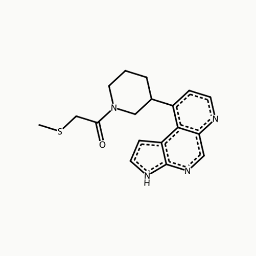 CSCC(=O)N1CCCC(c2ccnc3cnc4[nH]ccc4c23)C1